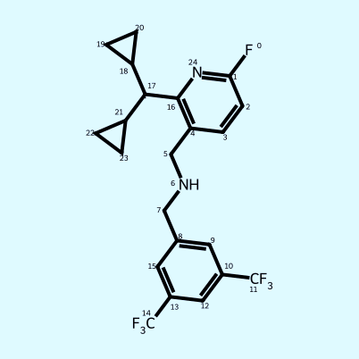 Fc1ccc(CNCc2cc(C(F)(F)F)cc(C(F)(F)F)c2)c([C](C2CC2)C2CC2)n1